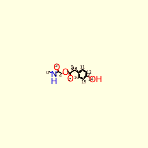 CNC(=O)COC(=O)[C@@H](C)c1ccc(O)cc1